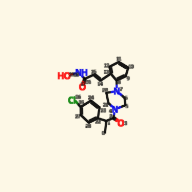 CC(C(=O)N1CCN(c2ccccc2/C=C/C(=O)NO)CC1)c1ccc(Cl)cc1